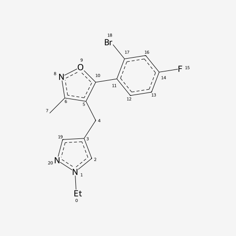 CCn1cc(Cc2c(C)noc2-c2ccc(F)cc2Br)cn1